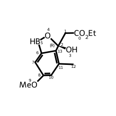 CCOC(=O)C[C@@]1(O)OBc2cc(OC)cc(C)c21